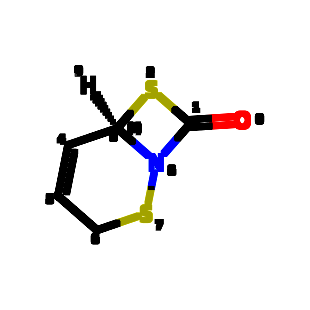 O=C1S[C@@H]2C=CCSN12